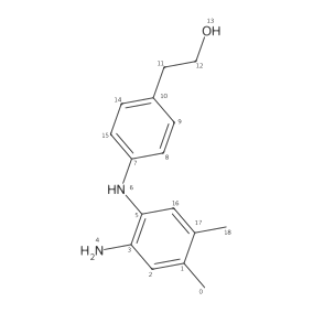 Cc1cc(N)c(Nc2ccc(CCO)cc2)cc1C